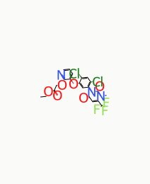 CCOC(=O)COc1ncccc1Oc1cc(-n2c(=O)cc(C(F)(F)F)n(C)c2=O)c(Cl)cc1Cl